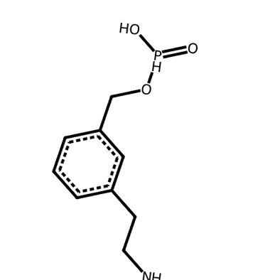 NCCc1cccc(CO[PH](=O)O)c1